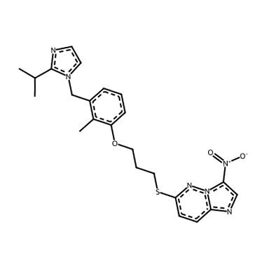 Cc1c(Cn2ccnc2C(C)C)cccc1OCCCSc1ccc2ncc([N+](=O)[O-])n2n1